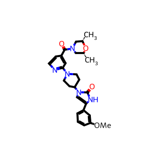 COc1cccc(-c2cn(C3CCN(c4cc(C(=O)N5C[C@@H](C)O[C@@H](C)C5)ccn4)CC3)c(=O)[nH]2)c1